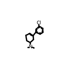 CN(C)C1CCC=C(c2cccc(Cl)c2)C1